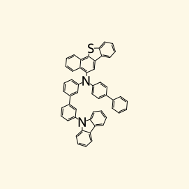 c1ccc(-c2ccc(N(c3cccc(-c4cccc(-n5c6ccccc6c6ccccc65)c4)c3)c3cc4c5ccccc5sc4c4ccccc34)cc2)cc1